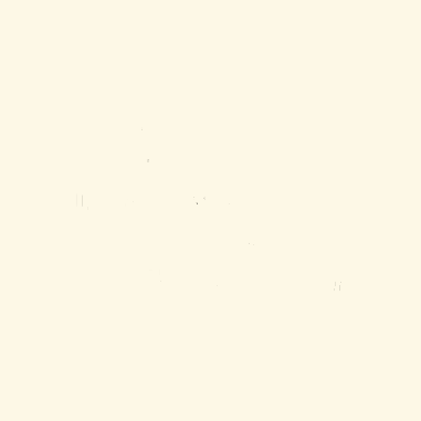 CCOC(=O)CNCC(OC)OC.Cl